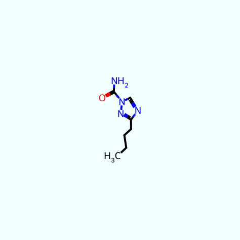 CCCCc1ncn(C(N)=O)n1